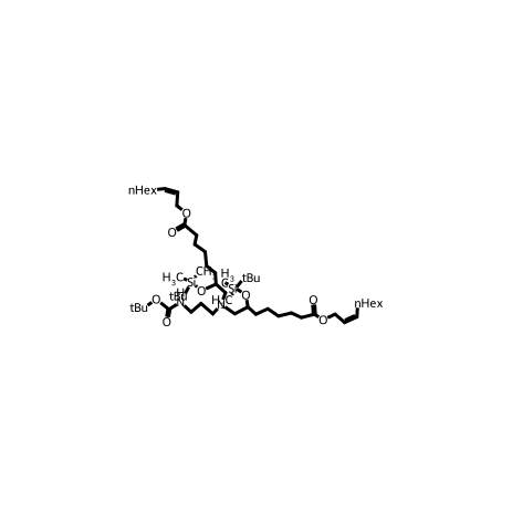 CCCCCC/C=C\COC(=O)CCCCCC(CN(CCCNC(=O)OC(C)(C)C)CC(CCCCCC(=O)OC/C=C\CCCCCC)O[Si](C)(C)C(C)(C)C)O[Si](C)(C)C(C)(C)C